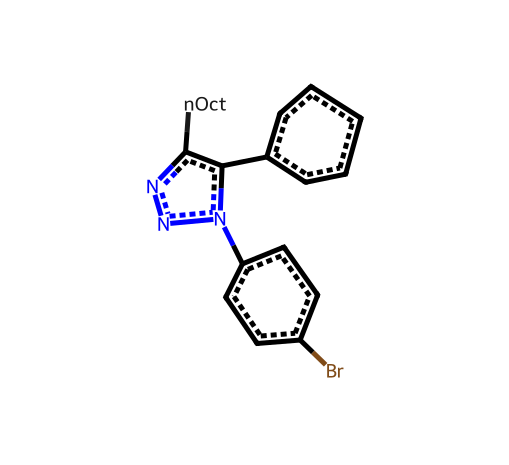 CCCCCCCCc1nnn(-c2ccc(Br)cc2)c1-c1ccccc1